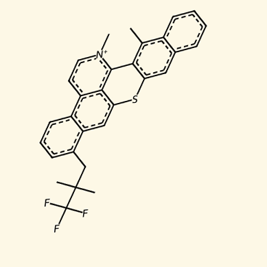 Cc1c2c(cc3ccccc13)Sc1cc3c(CC(C)(C)C(F)(F)F)cccc3c3cc[n+](C)c-2c13